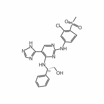 CS(=O)(=O)c1ccc(Nc2ncc(-c3ncn[nH]3)c(N[C@H](CO)c3ccccc3)n2)cc1Cl